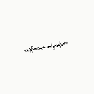 C#CCNC(=O)COCC(=O)NCCCOCCOCCOCCCNC(=O)OC(C)(C)C